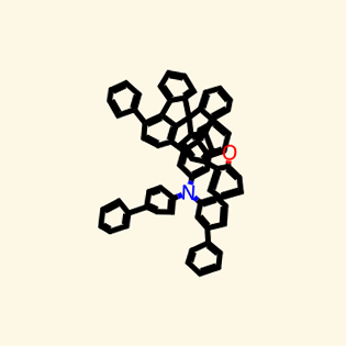 c1ccc(-c2ccc(N(c3cccc(-c4ccccc4)c3)c3cc(-c4ccc(-c5ccccc5)c5c4C4(c6ccccc6-5)c5ccccc5-c5c4ccc4c5oc5ccccc54)c4ccccc4c3)cc2)cc1